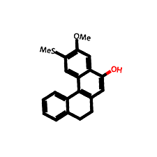 COc1cc2c(O)cc3c(c2cc1SC)-c1ccccc1CC3